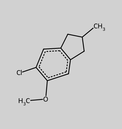 COc1cc2c(cc1Cl)CC(C)C2